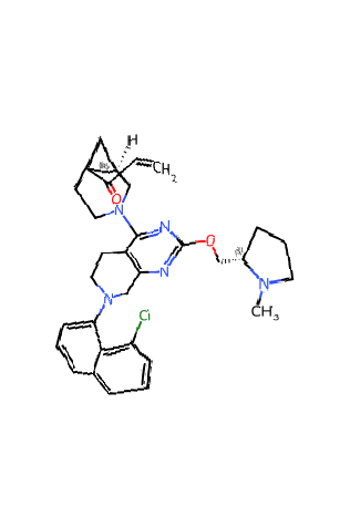 C=CC(=O)C12CCN(c3nc(OC[C@@H]4CCCN4C)nc4c3CCN(c3cccc5cccc(Cl)c35)C4)C[C@@H]1C2